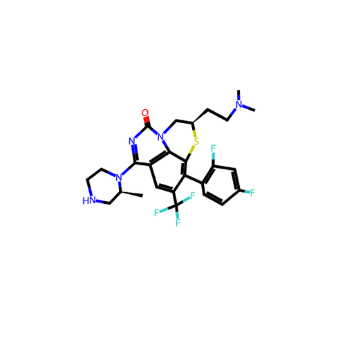 C[C@H]1CNCCN1c1nc(=O)n2c3c(c(-c4ccc(F)cc4F)c(C(F)(F)F)cc13)S[C@H](CCN(C)C)C2